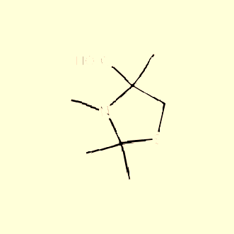 CN1C(C)(C)SCC1(C)C(=O)O